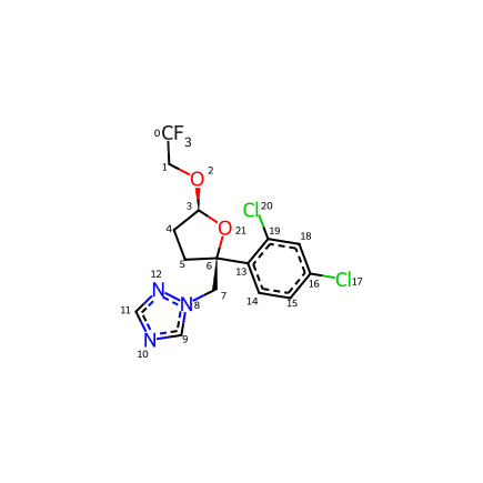 FC(F)(F)CO[C@@H]1CC[C@@](Cn2cncn2)(c2ccc(Cl)cc2Cl)O1